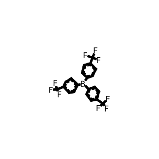 FC(F)(F)c1ccc(B(c2ccc(C(F)(F)F)cc2)c2ccc(C(F)(F)F)cc2)cc1